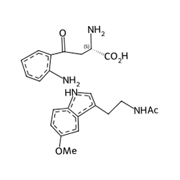 COc1ccc2[nH]cc(CCNC(C)=O)c2c1.Nc1ccccc1C(=O)C[C@H](N)C(=O)O